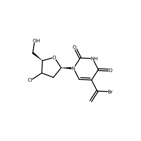 C=C(Br)c1cn([C@H]2CC(Cl)[C@@H](CO)O2)c(=O)[nH]c1=O